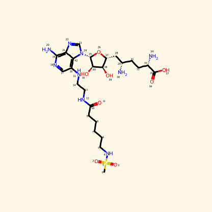 CS(=O)(=O)NCCCCCC(=O)NCCNc1cnc(N)c2ncn([C@@H]3O[C@H](C[C@@H](N)CC[C@H](N)C(=O)O)[C@@H](O)[C@H]3O)c12